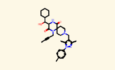 CC#CCN1C(=O)C(C(O)C2CCCCC2)NC(=O)C12CCN(Cc1c(C)nn(-c3ccc(C)cc3)c1C)CC2